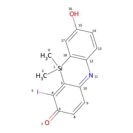 C[Si]1(C)C2=C(I)C(=O)C=CC2=Nc2ccc(O)cc21